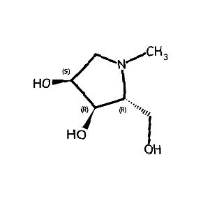 CN1C[C@H](O)[C@H](O)[C@H]1CO